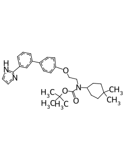 CC1(C)CCC(N(CCOc2ccc(-c3cccc(-c4ncc[nH]4)c3)cc2)C(=O)OC(C)(C)C)CC1